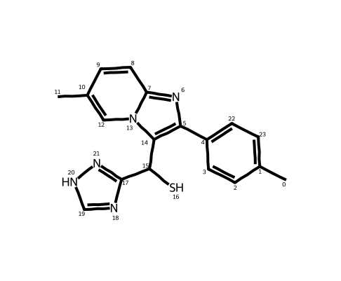 Cc1ccc(-c2nc3ccc(C)cn3c2C(S)c2nc[nH]n2)cc1